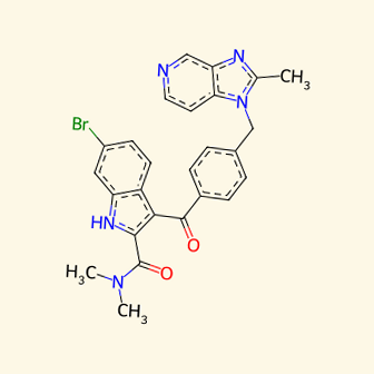 Cc1nc2cnccc2n1Cc1ccc(C(=O)c2c(C(=O)N(C)C)[nH]c3cc(Br)ccc23)cc1